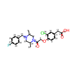 CC1CN(C(=O)COc2ccc(CC(=O)O)cc2Cl)C(C)CN1Cc1ccc(F)cc1